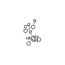 N#Cc1ccc2c(c1)C1(c3ccccc3Oc3ccccc31)c1ccc(C3NC(c4ccccc4)NC(c4ccccc4)N3)cc1-2